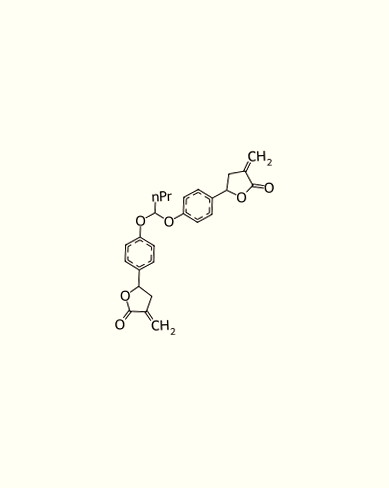 C=C1CC(c2ccc(OC(CCC)Oc3ccc(C4CC(=C)C(=O)O4)cc3)cc2)OC1=O